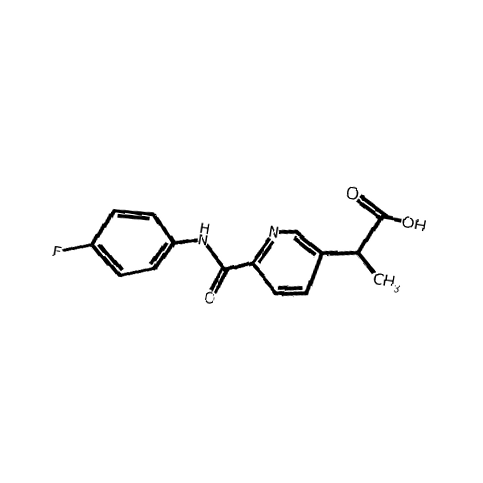 CC(C(=O)O)c1ccc(C(=O)Nc2ccc(F)cc2)nc1